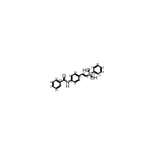 O=C(Nc1ccc(/C=C/[Si](O)(O)c2ccccc2)cc1)c1ccccc1